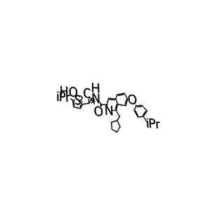 CC(C)c1ccc(Oc2ccc3cc(C(=O)N[C@@H](Cc4ccc(C(C)C)s4)C(=O)O)nc(CC4CCCC4)c3c2)cc1